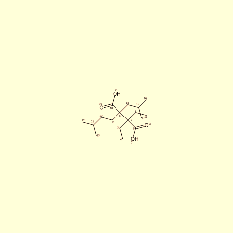 CCC(CC)(C(=O)O)C(CCC(C)C)(CC(C)C)C(=O)O